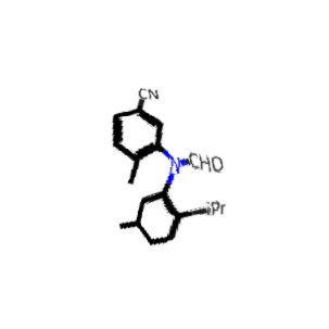 Cc1ccc(C#N)cc1N(C=O)C1CC(C)CCC1C(C)C